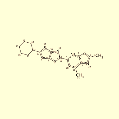 Cc1cn2nc(-n3cc4cc(C5CCCCC5)sc4n3)cc(C)c2n1